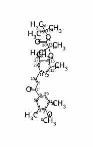 COc1c(C)cc(C(=O)C=Cc2cc(C)c(OC(C)(C)C(=O)OC(C)(C)C)c(C)c2)cc1C